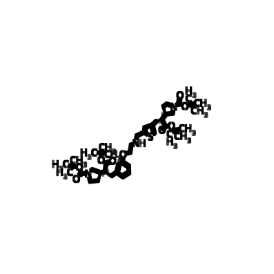 CC(C)(C)OC(=O)[C@@H](Cc1cccc(OCCNCc2cc(C[C@H](C(=O)OC(C)(C)C)[C@H]3CCN(C(=O)OC(C)(C)C)C3)cs2)c1)[C@H]1CCN(C(=O)OC(C)(C)C)C1